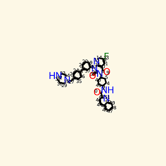 O=C(NC1CCC(n2c(=O)c3cc(F)cnc3n(-c3cccc(-c4ccc(CN5CCCNCC5)cc4)c3)c2=O)CC1)c1ccc2ccccc2n1